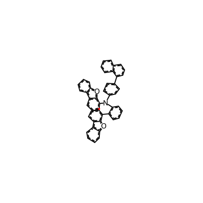 c1ccc(N(c2ccc(-c3cccc4ccccc34)cc2)c2cccc3c2oc2ccccc23)c(-c2cccc3c2oc2ccccc23)c1